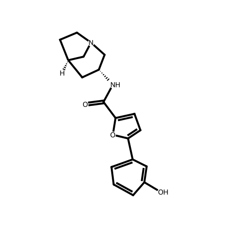 O=C(N[C@@H]1C[C@H]2CCN(C2)C1)c1ccc(-c2cccc(O)c2)o1